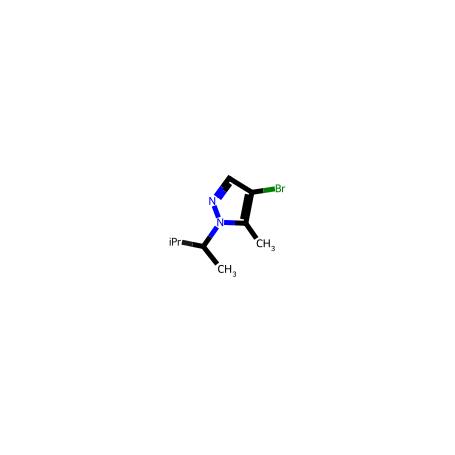 Cc1c(Br)cnn1C(C)C(C)C